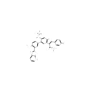 CNC(=O)c1c(-c2ccc(F)cc2)oc2cc(N(C)S(C)(=O)=O)c(-c3ccc(OC)c(-c4nc5cccnc5s4)c3)cc12